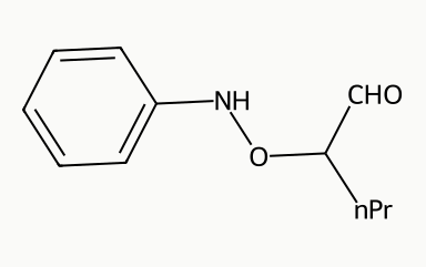 CCCC(C=O)ONc1ccccc1